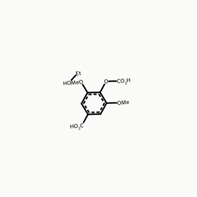 CCO.COc1cc(C(=O)O)cc(OC)c1OC(=O)O